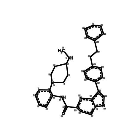 CNC1CCN(c2ccccc2NC(=O)c2ccn3ncc(-c4ccc(CCc5ccccc5)cc4)c3n2)CC1